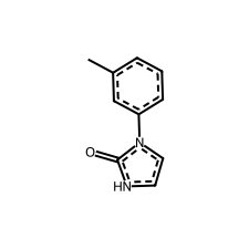 Cc1cccc(-n2cc[nH]c2=O)c1